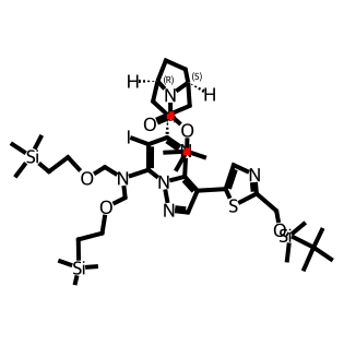 CC(C)(C)OC(=O)N1[C@@H]2CC[C@H]1C[C@H](c1nc3c(-c4cnc(CO[Si](C)(C)C(C)(C)C)s4)cnn3c(N(COCC[Si](C)(C)C)COCC[Si](C)(C)C)c1I)C2